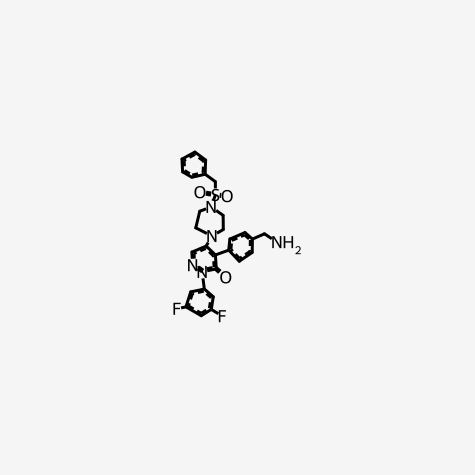 NCc1ccc(-c2c(N3CCN(S(=O)(=O)Cc4ccccc4)CC3)cnn(-c3cc(F)cc(F)c3)c2=O)cc1